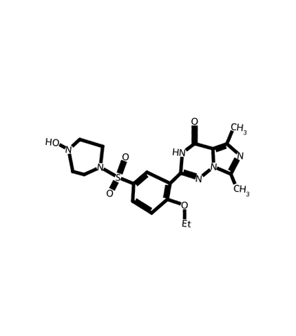 CCOc1ccc(S(=O)(=O)N2CCN(O)CC2)cc1-c1nn2c(C)nc(C)c2c(=O)[nH]1